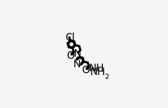 NNC(=O)Cc1cncc(N2CCc3cc(Cl)ccc3C2=O)c1